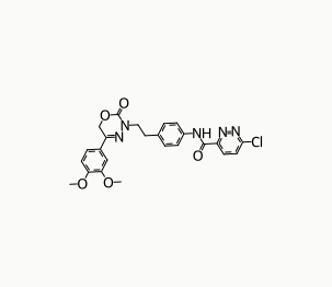 COc1ccc(C2=NN(CCc3ccc(NC(=O)c4ccc(Cl)nn4)cc3)C(=O)OC2)cc1OC